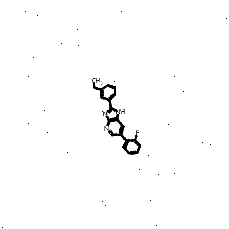 CCc1cccc(-c2nc3ncc(-c4ccccc4F)cc3[nH]2)c1